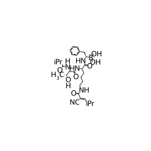 CC(C)C=C(C#N)C(=O)NCCCCC(NC(=O)[C@@H](NC(=O)C(C)C)[C@@H](C)O)C(=O)N[C@@H](Cc1ccccc1)B(O)O